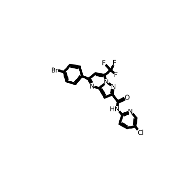 O=C(Nc1ccc(Cl)cn1)c1cc2nc(-c3ccc(Br)cc3)cc(C(F)(F)F)n2n1